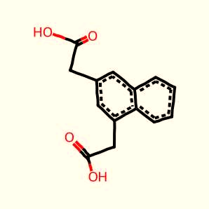 O=C(O)Cc1cc(CC(=O)O)c2ccccc2c1